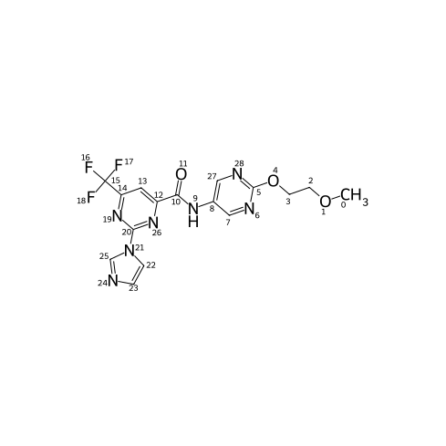 COCCOc1ncc(NC(=O)c2cc(C(F)(F)F)nc(-n3ccnc3)n2)cn1